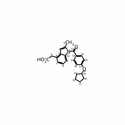 Cc1cc2c(CC(=O)O)cccc2n1C(=O)c1ccc(OC2CCCC2)cc1